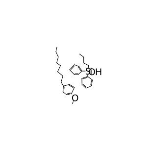 CCCCCCCCc1ccc(OC)cc1.CCCC[Si](O)(c1ccccc1)c1ccccc1